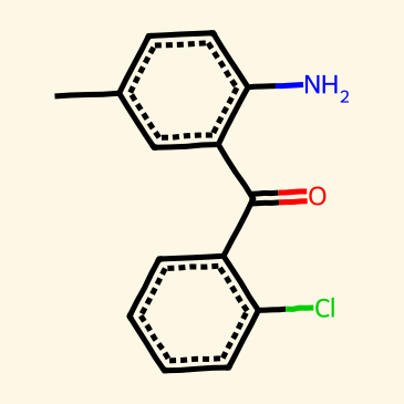 Cc1ccc(N)c(C(=O)c2ccccc2Cl)c1